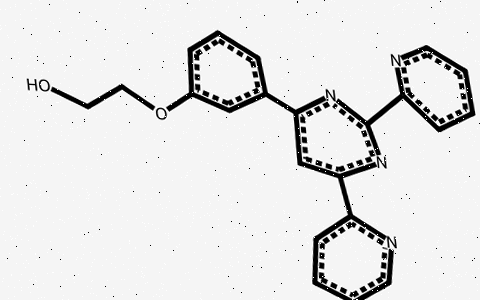 OCCOc1cccc(-c2cc(-c3ccccn3)nc(-c3ccccn3)n2)c1